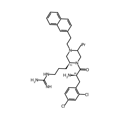 CC(C)C1CN(C(=O)[C@H](N)Cc2ccc(Cl)cc2Cl)[C@@H](CCCNC(=N)N)CN1CCc1ccc2ccccc2c1